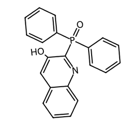 O=P(c1ccccc1)(c1ccccc1)c1nc2ccccc2cc1O